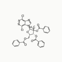 C[C@@]1(OC(=O)c2ccccc2)[C@H](OC(=O)c2ccccc2)[C@@H](COC(=O)c2ccccc2)O[C@H]1n1cnc2c(Cl)nnc(Cl)c21